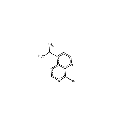 CC(C)c1ccnc2c(Br)nccc12